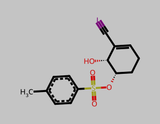 Cc1ccc(S(=O)(=O)O[C@H]2CCC=C(C#I)[C@H]2O)cc1